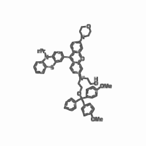 CCCN1c2ccccc2Sc2cc(-c3c4cc/c(=[N+](/CCO)CCOC(c5ccccc5)(c5ccc(OC)cc5)c5ccc(OC)cc5)cc-4oc4cc(N5CCOCC5)ccc34)ccc21